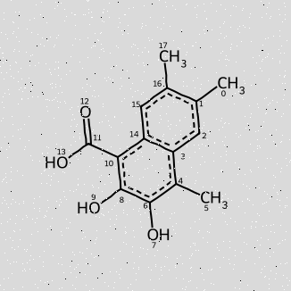 Cc1cc2c(C)c(O)c(O)c(C(=O)O)c2cc1C